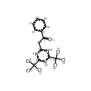 O=C([C]c1nc(C(Cl)(Cl)Cl)nc(C(Cl)(Cl)Cl)n1)c1ccccc1